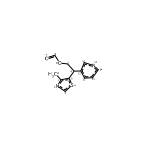 Cc1ncsc1C(COC=O)c1cccnc1